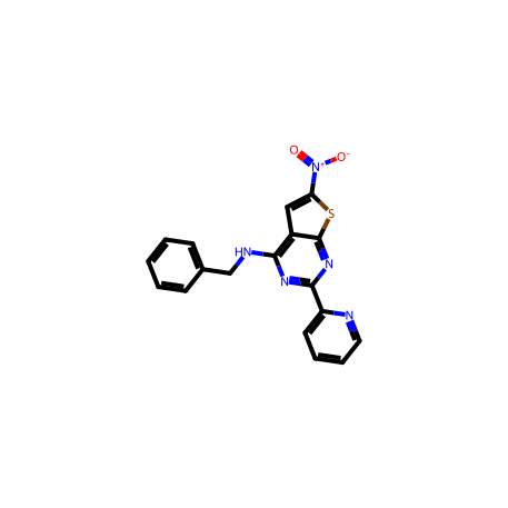 O=[N+]([O-])c1cc2c(NCc3ccccc3)nc(-c3ccccn3)nc2s1